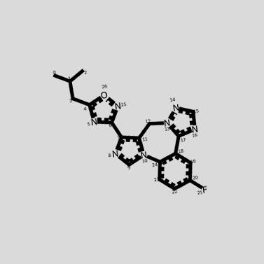 CC(C)Cc1nc(-c2ncn3c2Cn2ncnc2-c2cc(F)ccc2-3)no1